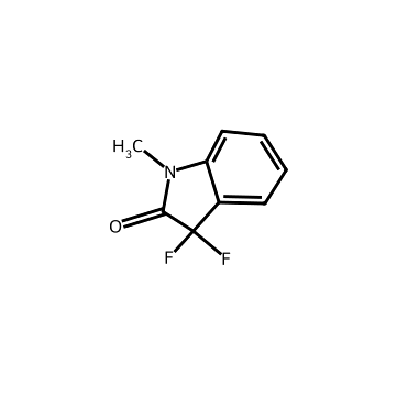 CN1C(=O)C(F)(F)c2ccccc21